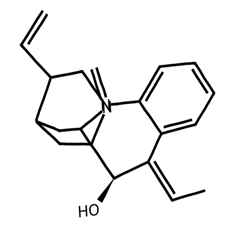 C=CC1CN2CCC1CC2[C@H](O)/C(=C/C)c1ccccc1N=C